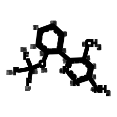 Cc1cc(N)nnc1-c1ccccc1OC(F)(F)F